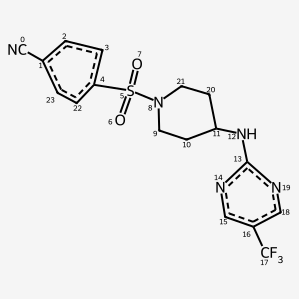 N#Cc1ccc(S(=O)(=O)N2CCC(Nc3ncc(C(F)(F)F)cn3)CC2)cc1